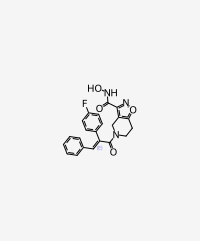 O=C(NO)c1noc2c1CN(C(=O)/C(=C/c1ccccc1)c1ccc(F)cc1)CC2